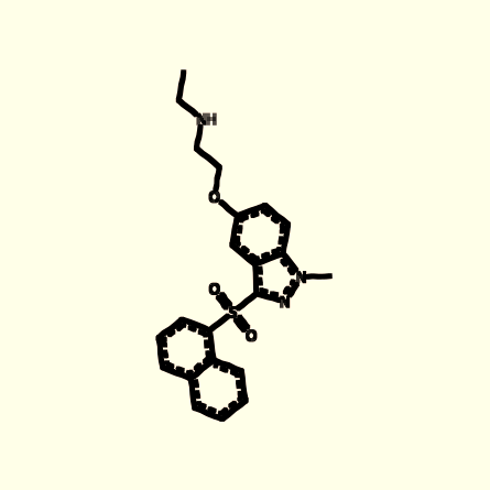 CCNCCOc1ccc2c(c1)c(S(=O)(=O)c1cccc3ccccc13)nn2C